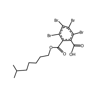 CC(C)CCCCCOC(=O)c1c(Br)c(Br)c(Br)c(Br)c1C(=O)O